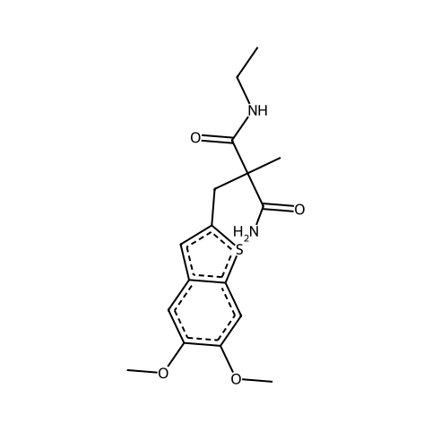 CCNC(=O)C(C)(Cc1cc2cc(OC)c(OC)cc2s1)C(N)=O